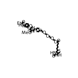 CCC(=O)Nc1cccc(Sc2c(OC)nc(N3CCN(CCOCCOCCOCCOC(=O)CCCCC4SCC5NC(=O)NC54)CC3)nc2OC)c1